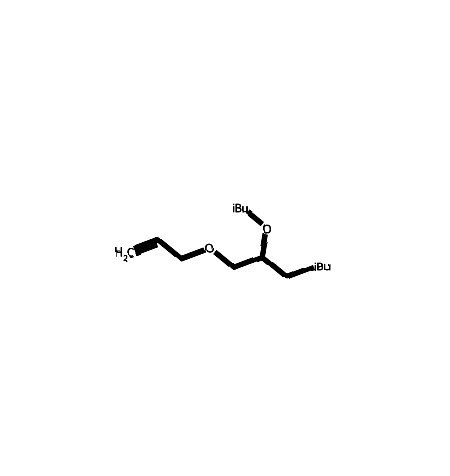 C=CCOCC(CC(C)CC)OC(C)CC